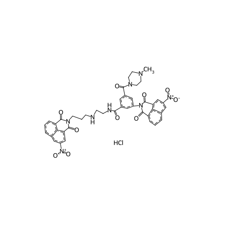 CN1CCN(C(=O)c2cc(C(=O)NCCNCCCN3C(=O)c4cccc5cc([N+](=O)[O-])cc(c45)C3=O)cc(N3C(=O)c4cccc5cc([N+](=O)[O-])cc(c45)C3=O)c2)CC1.Cl